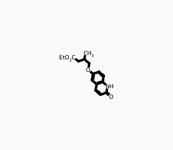 CCOC(=O)CC(C)COc1ccc2[nH]c(=O)ccc2c1